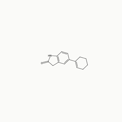 O=C1Cc2cc(C3=CCCCC3)ccc2N1